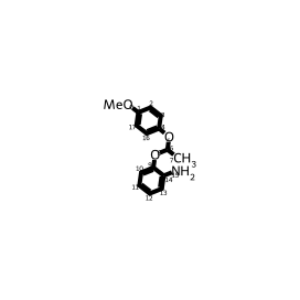 COc1ccc(OC(C)Oc2ccccc2N)cc1